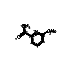 COc1cccc(C(N)=O)n1